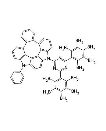 Bc1c(B)c(B)c(-c2nc(-c3c(B)c(B)c(B)c(B)c3B)nc(-n3c4cccc5c6ccccc6c6cccc7c6c6c(c54)c3ccc6n7-c3ccccc3)n2)c(B)c1B